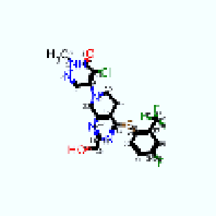 CN/N=C\C(=C(\Cl)C=O)N1CCc2c(nc(CO)nc2Sc2ccc(F)cc2C(F)(F)F)C1